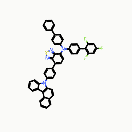 Fc1cc(F)c(-c2ccc(N(c3ccc(-c4ccccc4)cc3)c3ccc(-c4ccc(-n5c6ccccc6c6c7ccccc7ccc65)cc4)c4nsnc34)cc2)c(F)c1